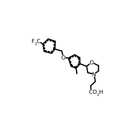 Cc1cc(OCc2ccc(C(F)(F)F)cc2)ccc1C1CN(CCC(=O)O)CCO1